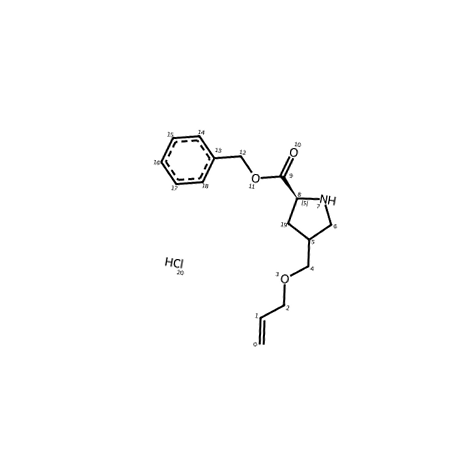 C=CCOCC1CN[C@H](C(=O)OCc2ccccc2)C1.Cl